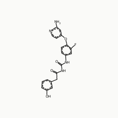 Nc1cc(Oc2ccc(NC(=O)NC(=O)Cc3cccc(O)c3)cc2F)ccn1